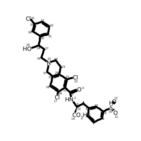 O=C(N[C@@H](Cc1cccc([SH](=O)=O)c1)C(=O)O)c1c(Cl)cc2c(c1Cl)CCN(CCC(O)c1cccc(Cl)c1)C2